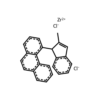 CC1=Cc2ccccc2C1c1cccc2ccc3ccccc3c12.[Cl-].[Cl-].[Zr+2]